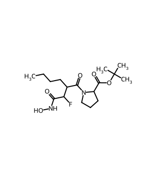 CCCCC(C(=O)N1CCCC1C(=O)OC(C)(C)C)C(F)C(=O)NO